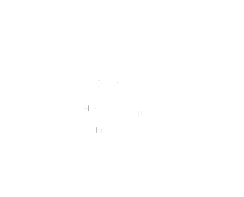 CCCCC1OC(=O)c2c(O)c(Br)cc(Br)c21